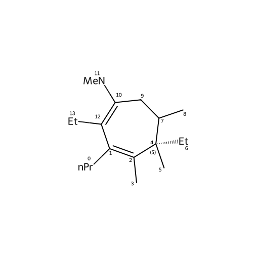 CCCC1=C(C)[C@@](C)(CC)C(C)CC(NC)=C1CC